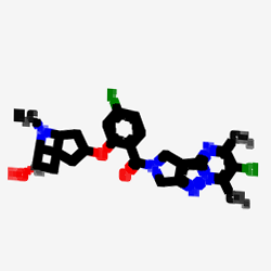 Cc1nc2c3c(nn2c(C)c1Cl)CN(C(=O)c1ccc(F)cc1OC1CC2N(C)C4[C@@H](O)CC24C1)C3